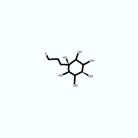 OC1C(O)[C@](O)(CCCF)C(O)C(O)[C@H]1O